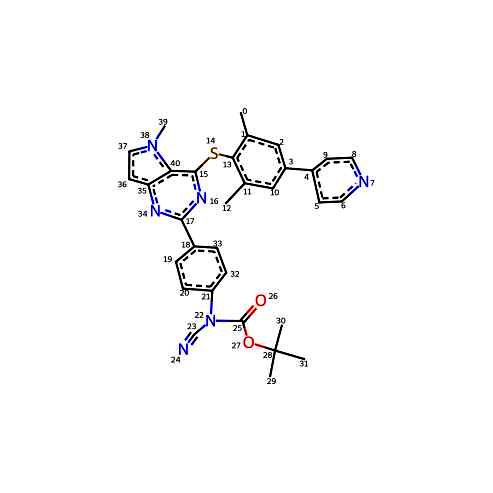 Cc1cc(-c2ccncc2)cc(C)c1Sc1nc(-c2ccc(N(C#N)C(=O)OC(C)(C)C)cc2)nc2ccn(C)c12